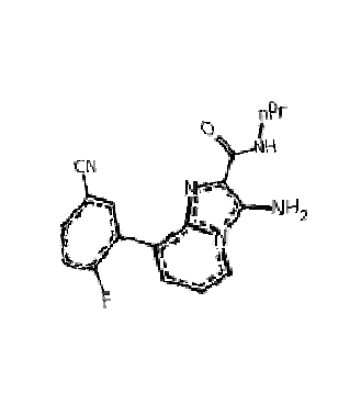 CCCNC(=O)c1nc2c(-c3cc(C#N)ccc3F)cccn2c1N